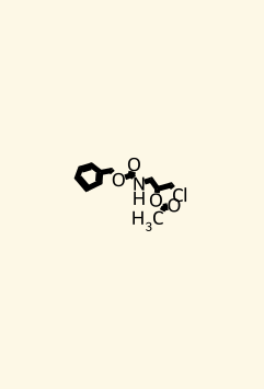 CC(=O)OC(CCl)CNC(=O)OCc1ccccc1